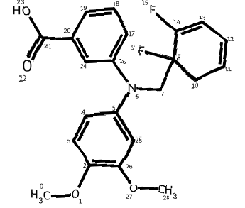 COc1ccc(N(CC2(F)CC=CC=C2F)c2cccc(C(=O)O)c2)cc1OC